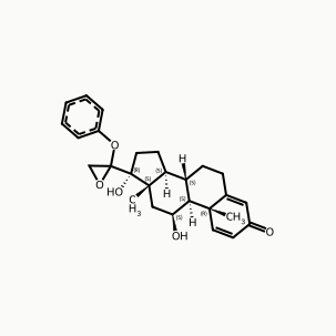 C[C@]12C=CC(=O)C=C1CC[C@@H]1[C@@H]2[C@@H](O)C[C@@]2(C)[C@H]1CC[C@]2(O)C1(Oc2ccccc2)CO1